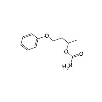 CC(CCOc1ccccc1)OC(N)=O